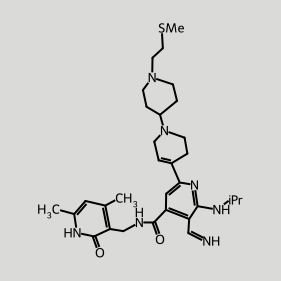 CSCCN1CCC(N2CC=C(c3cc(C(=O)NCc4c(C)cc(C)[nH]c4=O)c(C=N)c(NC(C)C)n3)CC2)CC1